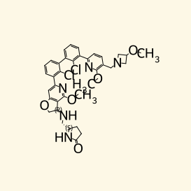 COc1nc(-c2cccc(-c3cccc(-c4cc5c(c(OC)n4)[C@@H](NC[C@@H]4CCC(=O)N4)CO5)c3Cl)c2Cl)ccc1CN1CC(OC)C1